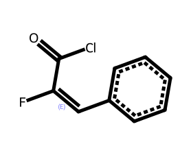 O=C(Cl)/C(F)=C\c1ccccc1